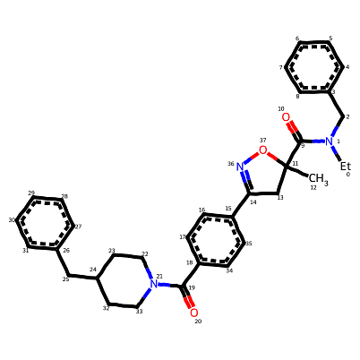 CCN(Cc1ccccc1)C(=O)C1(C)CC(c2ccc(C(=O)N3CCC(Cc4ccccc4)CC3)cc2)=NO1